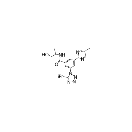 Cc1cnc(-c2cc(C(=O)NC(C)CO)cc(-n3nnnc3C(C)C)c2)nc1